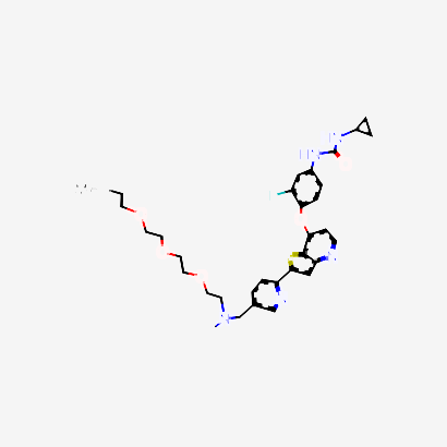 COCCOCCOCCOCCN(C)Cc1ccc(-c2cc3nccc(Oc4ccc(NC(=O)NC5CC5)cc4F)c3s2)nc1